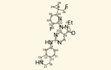 CCn1c(=O)c2cnc(Nc3ccc4c(c3)CNCC4)nc2n1-c1nc(C2(CF)CC2)ccc1F